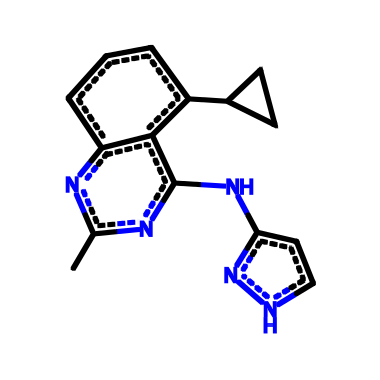 Cc1nc(Nc2cc[nH]n2)c2c(C3CC3)cccc2n1